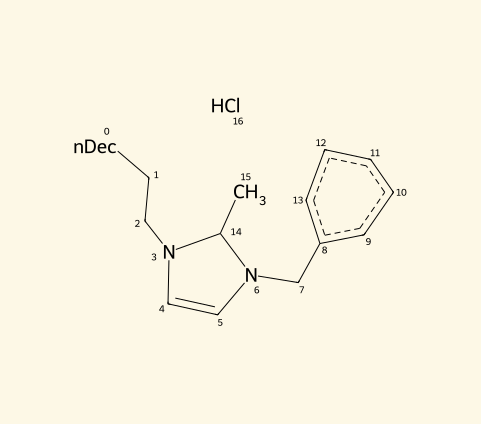 CCCCCCCCCCCCN1C=CN(Cc2ccccc2)C1C.Cl